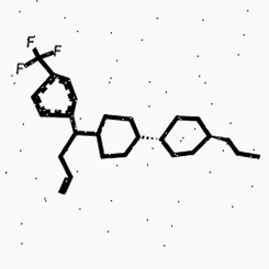 C=CCC(c1ccc(C(F)(F)F)cc1)C1CCC([C@H]2CC[C@H](CCC)CC2)CC1